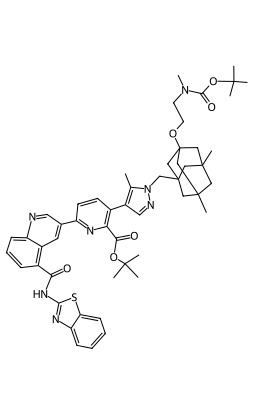 Cc1c(-c2ccc(-c3cnc4cccc(C(=O)Nc5nc6ccccc6s5)c4c3)nc2C(=O)OC(C)(C)C)cnn1CC12CC3(C)CC(C)(C1)CC(OCCN(C)C(=O)OC(C)(C)C)(C3)C2